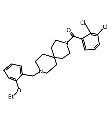 CCOc1ccccc1CN1CCC2(CC1)CCN(C(=O)c1cccc(Cl)c1Cl)CC2